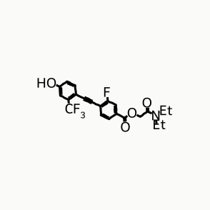 CCN(CC)C(=O)COC(=O)c1ccc(C#Cc2ccc(O)cc2C(F)(F)F)c(F)c1